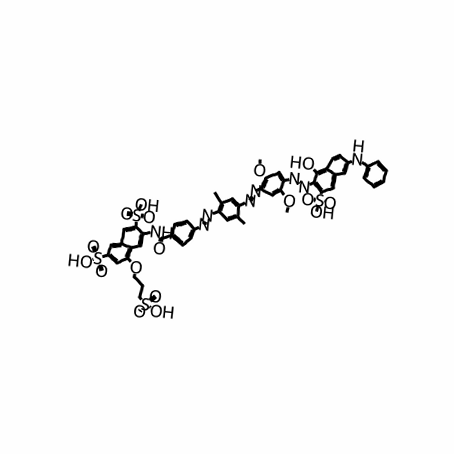 COc1cc(N=Nc2c(S(=O)(=O)O)cc3cc(Nc4ccccc4)ccc3c2O)c(OC)cc1N=Nc1cc(C)c(N=Nc2ccc(C(=O)Nc3cc4c(OCCCS(=O)(=O)O)cc(S(=O)(=O)O)cc4cc3S(=O)(=O)O)cc2)cc1C